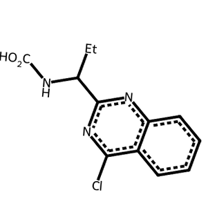 CCC(NC(=O)O)c1nc(Cl)c2ccccc2n1